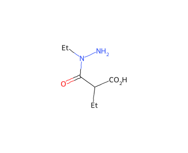 CCC(C(=O)O)C(=O)N(N)CC